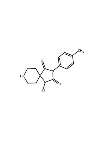 CCN1C(=O)N(c2ccc(C)cc2)C(=O)C12CCNCC2